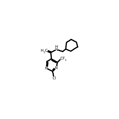 C=C(NCC1CCCCC1)c1cnc(Cl)nc1C(F)(F)F